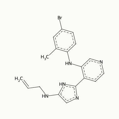 C=CCNc1cnc(-c2ccncc2Nc2ccc(Br)cc2C)[nH]1